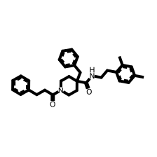 Cc1ccc(CCNC(=O)C2(Cc3ccccc3)CCN(C(=O)CCc3ccccc3)CC2)c(C)c1